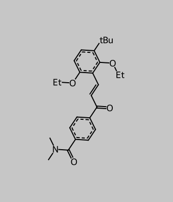 CCOc1ccc(C(C)(C)C)c(OCC)c1C=CC(=O)c1ccc(C(=O)N(C)C)cc1